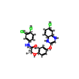 C[C@@H](Oc1ccc(Oc2cnc3cc(Cl)ccc3n2)cc1)C(=O)Nc1ccc(Cl)c(Cl)c1